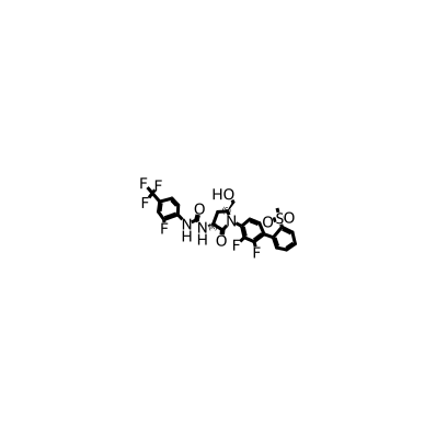 CS(=O)(=O)c1ccccc1-c1ccc(N2C(=O)[C@H](NC(=O)Nc3ccc(C(F)(F)F)cc3F)C[C@H]2CO)c(F)c1F